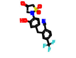 N#Cc1ccc(C(F)(F)F)cc1Cc1ccc(N2CC(=O)CS2(=O)=O)c(O)c1